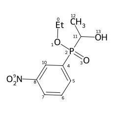 CCOP(=O)(c1cccc([N+](=O)[O-])c1)C(C)O